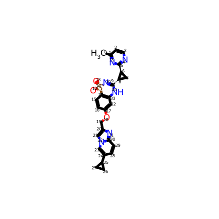 Cc1ccnc([C@H]2C[C@@H]2C2=NS(=O)(=O)c3ccc(OCc4cn5cc(C6CC6)ccc5n4)cc3N2)n1